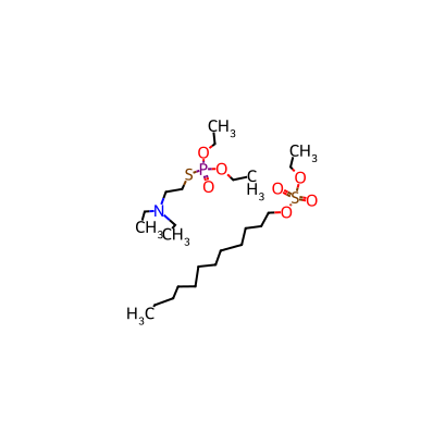 CCCCCCCCCCCCOS(=O)(=O)OCC.CCOP(=O)(OCC)SCCN(CC)CC